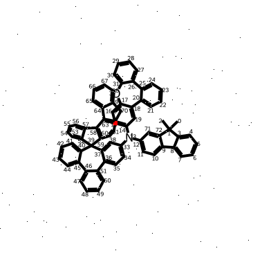 CC1(C)c2ccccc2-c2ccc(N(c3ccc4c(c3)-c3ccccc3-c3ccccc3O4)c3ccc4c(c3)C3(c5ccccc5-c5ccccc5-4)c4ccccc4-c4c3ccc3c4-c4ccccc4C3)cc21